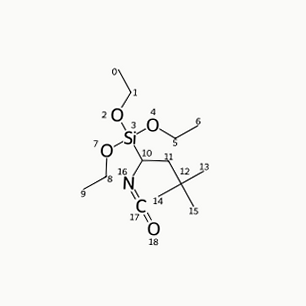 CCO[Si](OCC)(OCC)C(CC(C)(C)C)N=C=O